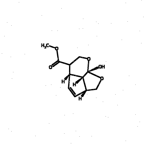 COC(=O)C1CO[C@]2(O)OC[C@@H]3C=C[C@H]1[C@@H]32